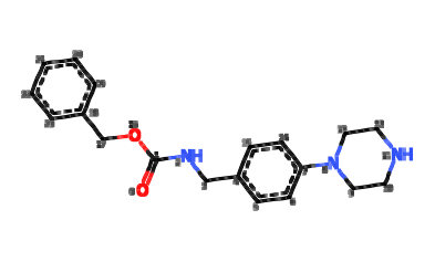 O=C(NCc1ccc(N2CCNCC2)cc1)OCc1ccccc1